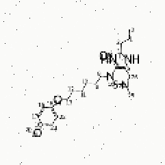 CCCC1NC2=C(N(CCCCCCOc3ccc(OC)cc3)SN(C)C2)[NH+]1[O-]